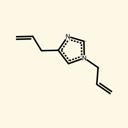 C=CCc1cn(CC=C)[c]n1